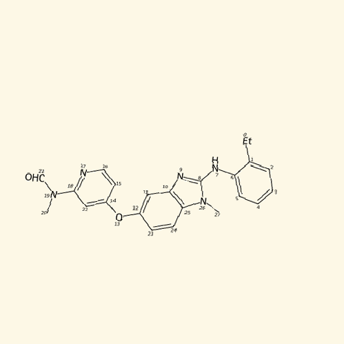 CCc1ccccc1Nc1nc2cc(Oc3ccnc(N(C)C=O)c3)ccc2n1C